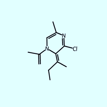 C=C(C)N1C=C(C)N=C(Cl)/C1=C(\C)CC